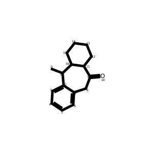 CC1c2ccccc2CC(=O)C2CCCCC21